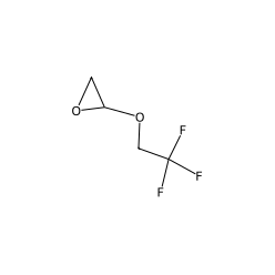 FC(F)(F)COC1CO1